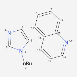 CCCCn1ccnc1.c1ccc2ncccc2c1